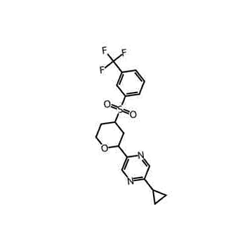 O=S(=O)(c1cccc(C(F)(F)F)c1)C1CCOC(c2cnc(C3CC3)cn2)C1